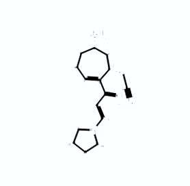 N#CC[C@H]1C[C@@H](N)CCC=C1C(=O)/C=C/N1CCCC1